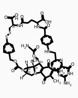 CO[C@@]12[C@H](COC(N)=O)C3=C(C(=O)C(C)=C(N)C3=O)N1C[C@H]1[C@@H]2N1C(=O)OCc1ccc(SSC[C@H](NC(=O)CCC(NC(=O)c2ccc(NCc3cnc4nc(N)[nH]c(=O)c4n3)cc2)C(=O)O)C(=O)O)cc1